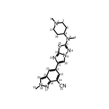 CN1CCC(N(C)c2nn3cc(-c4cc(C#N)c5nn(C)cc5c4)nc3s2)CC1